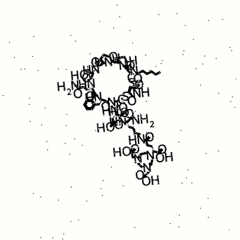 CCCCCC(=O)N[C@H]1CSC2=C(SC[C@@H](C(=O)N[C@@H](CC(=O)O)C(=O)N[C@@H](CCCCNC(=O)CC[C@H](C(=O)O)N3CCN(CC(=O)O)CCN(CC(=O)O)CC3)C(N)=O)NC(=O)[C@H](Cc3ccccc3)NC(=O)[C@H](CCC(N)=O)NC(=O)[C@H]([C@@H](C)O)NC(=O)[C@@H]3CCCN3C(=O)[C@@H]3CCCN3C1=O)C(=O)NC2=O